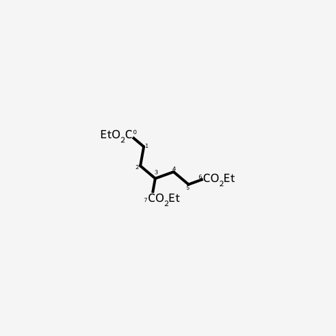 CCOC(=O)CCC(CCC(=O)OCC)C(=O)OCC